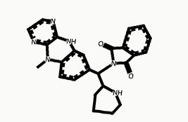 CN1c2ccc(C(C3CCCCN3)N3C(=O)c4ccccc4C3=O)cc2Nc2nccnc21